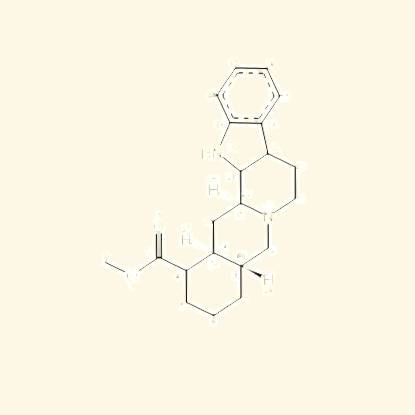 COC(=O)C1CCC[C@H]2CN3CCC4c5ccccc5NC4[C@@H]3C[C@H]12